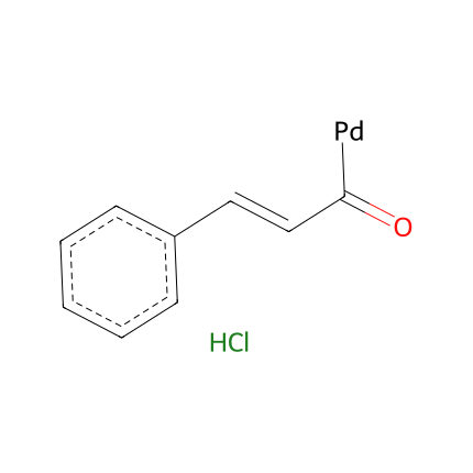 Cl.O=[C]([Pd])C=Cc1ccccc1